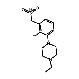 CCN1CCN(c2cccc(C[SH](=O)=O)c2F)CC1